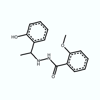 COc1ccccc1C(=O)NNC(C)c1ccccc1O